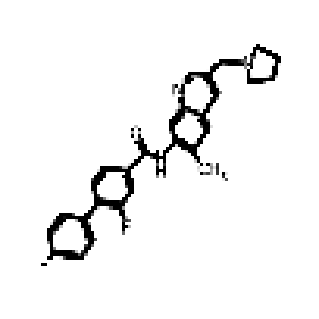 Cc1cc2cc(CN3CCCC3)cnc2cc1NC(=O)c1ccc(-c2ccc(F)cc2)c(F)c1